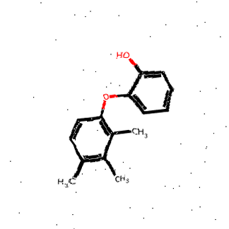 Cc1ccc(Oc2ccccc2O)c(C)c1C